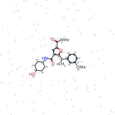 CNC(=O)c1cc(C(=O)NC2CCC(O)CC2)c(C(C)c2cccc(OC)c2)o1